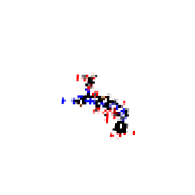 CC(C)(O/N=C(\C(=O)NC1C(=O)N2C(C(=O)O)=C(CNC(=O)N3CCN(C4C=CC(O)C(O)C4)C3=O)CS[C@@H]12)c1csc(N)n1)C(=O)O